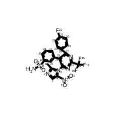 Cc1ncc([N+](=O)[O-])n1-c1nc(C(F)(F)F)nc(-c2ccc(F)cc2)c1-c1cccc(S(N)(=O)=O)c1